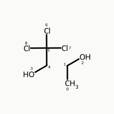 CCO.OCC(Cl)(Cl)Cl